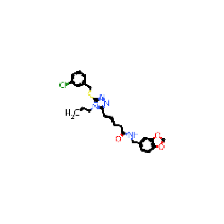 C=CCn1c(CCCCC(=O)NCc2ccc3c(c2)OCO3)nnc1SCc1cccc(Cl)c1